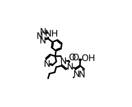 CCCCc1cn(-c2c(C(=O)O)cnn2C)c(=O)n1CC1(c2cccc(-c3nnn[nH]3)c2)C=CN=CC1